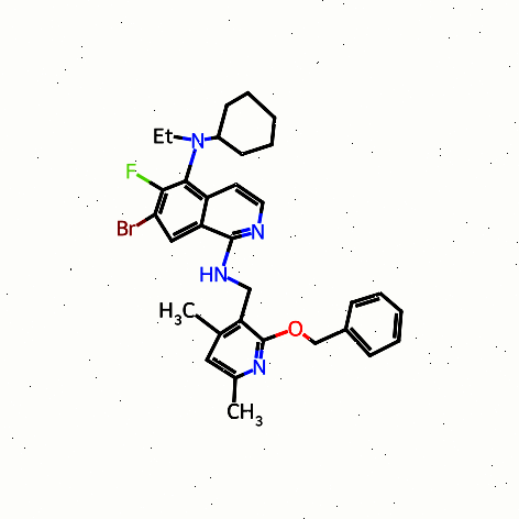 CCN(c1c(F)c(Br)cc2c(NCc3c(C)cc(C)nc3OCc3ccccc3)nccc12)C1CCCCC1